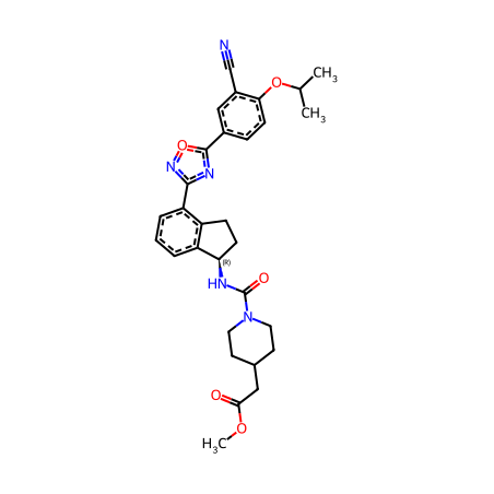 COC(=O)CC1CCN(C(=O)N[C@@H]2CCc3c(-c4noc(-c5ccc(OC(C)C)c(C#N)c5)n4)cccc32)CC1